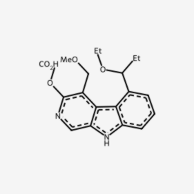 CCOC(CC)c1cccc2[nH]c3cnc(OC(=O)O)c(COC)c3c12